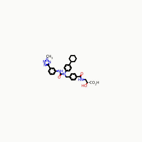 Cn1nnc(-c2cccc(NC(=O)N(Cc3ccc(C(=O)NC[C@@H](O)C(=O)O)cc3)c3ccc(C4CCCCC4)cc3)c2)n1